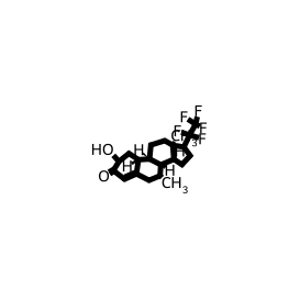 CC1CC2=CC(=O)C(O)C[C@@H]2[C@H]2CC[C@]3(C)C(C(F)(F)C(F)(F)F)CC[C@H]3[C@H]12